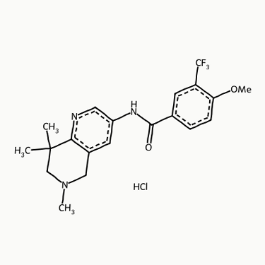 COc1ccc(C(=O)Nc2cnc3c(c2)CN(C)CC3(C)C)cc1C(F)(F)F.Cl